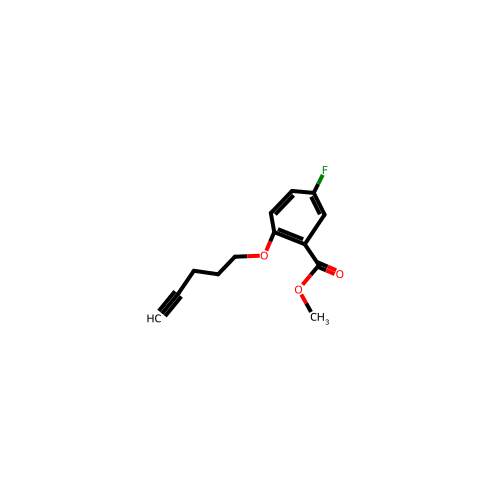 C#CCCCOc1ccc(F)cc1C(=O)OC